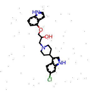 OC(COc1cccc2[nH]ccc12)CN1CCC(c2c[nH]c3cc(Cl)ccc23)CC1